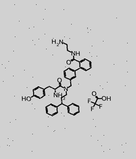 NCCNC(=O)c1ccccc1-c1cccc(CN(CCC(c2ccccc2)c2ccccc2)C(=O)[C@@H](N)Cc2ccc(O)cc2)c1.O=C(O)C(F)(F)F